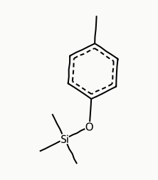 Cc1ccc(O[Si](C)(C)C)cc1